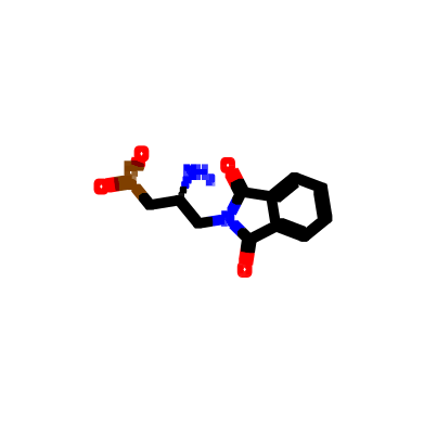 N[C@H](CN1C(=O)c2ccccc2C1=O)C[SH](=O)=O